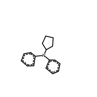 c1ccc(N(c2ccccc2)C2CCCC2)cc1